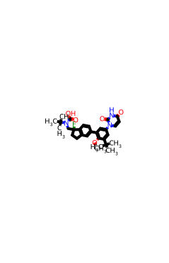 COc1c(-c2ccc3c(c2)CCC3(F)CN(C(=O)O)C(C)(C)C)cc(-n2ccc(=O)[nH]c2=O)cc1C(C)(C)C